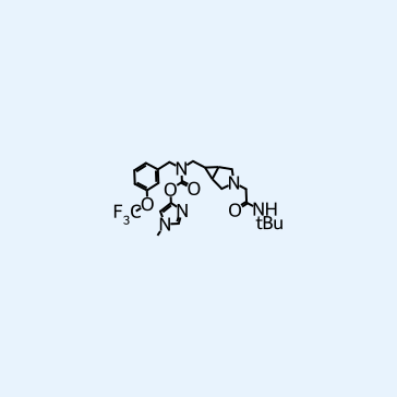 Cn1cnc(OC(=O)N(Cc2cccc(OC(F)(F)F)c2)CC2C3CN(CC(=O)NC(C)(C)C)CC32)c1